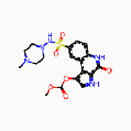 COC(=O)Oc1c[nH]c2c(=O)[nH]c3ccc(S(=O)(=O)NN4CCN(C)CC4)cc3c12